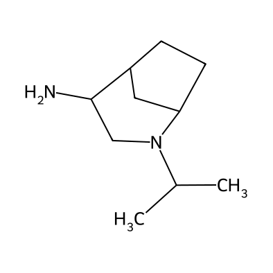 CC(C)N1CC(N)C2CCC1C2